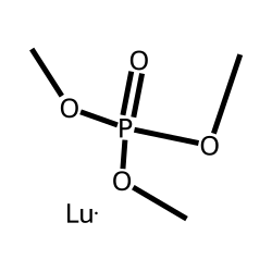 COP(=O)(OC)OC.[Lu]